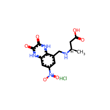 C[C@H](CC(=O)O)NCc1cc([N+](=O)[O-])cc2[nH]c(=O)c(=O)[nH]c12.Cl